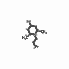 CCC1C[C@@H](C)N(CCC(C)C)[C@@H](C)C1